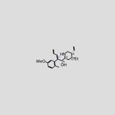 C=C/C=C(\c1cc(OC)ccc1C)[C@@H](O)[C@@H]1C[C@H](CC)[C@@H](C=C)CN1